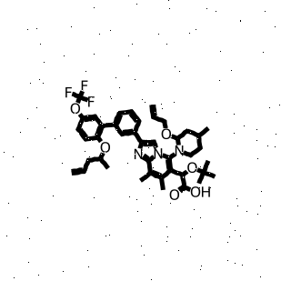 C=CCOC1CC(C)CCN1c1c(C(OC(C)(C)C)C(=O)O)c(C)c(C)c2nc(-c3cccc(-c4cc(OC(F)(F)F)ccc4OC(C)CC=C)c3)cn12